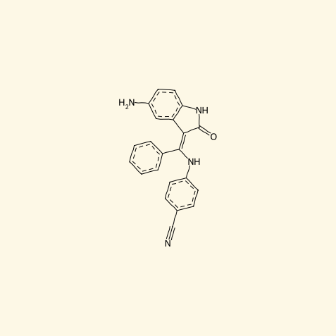 N#Cc1ccc(N/C(=C2\C(=O)Nc3ccc(N)cc32)c2ccccc2)cc1